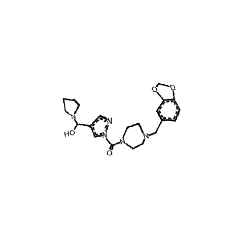 O=C(N1CCN(Cc2ccc3c(c2)OCO3)CC1)n1cc(C(O)N2CCCC2)cn1